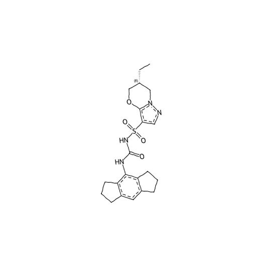 CC[C@H]1COc2c(S(=O)(=O)NC(=O)Nc3c4c(cc5c3CCC5)CCC4)cnn2C1